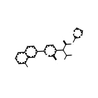 CC(C)C(C(=O)Nc1nccs1)c1ccc(-c2ccc3cccc(F)c3c2)[nH]c1=O